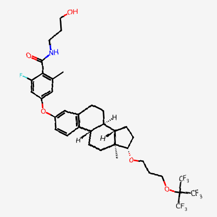 Cc1cc(Oc2ccc3c(c2)CC[C@@H]2[C@@H]3CC[C@]3(C)[C@@H](OCCCOC(C(F)(F)F)(C(F)(F)F)C(F)(F)F)CC[C@@H]23)cc(F)c1C(=O)NCCCO